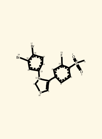 CS(=O)(=O)c1ccc(C2=CSCN2c2ccc(Br)c(Br)c2)cc1F